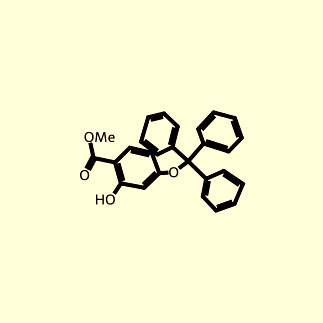 COC(=O)c1ccc(OC(c2ccccc2)(c2ccccc2)c2ccccc2)cc1O